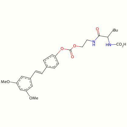 CCC(C)C(NC(=O)O)C(=O)NCCOC(=O)Oc1ccc(/C=C/c2cc(OC)cc(OC)c2)cc1